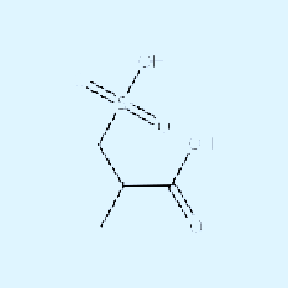 C[C](CS(=O)(=O)O)C(=O)O